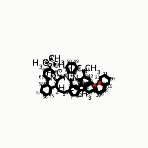 C=C1C2C(CCc3ccc4c(oc5cc6c(ccc7ccccc76)cc54)c3-c3n(-c4c(C(C)C)cc(-c5ccccc5)cc4C(C)C)c4ccccc4[n+]31)c1ccccc1-c1ccc([Si](C)(C)C)c[n+]12